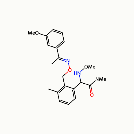 CNC(=O)C(NOC)c1cccc(C)c1CO/N=C(\C)c1cccc(OC)c1